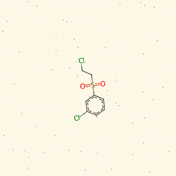 O=S(=O)(CCCl)c1cc[c]c(Cl)c1